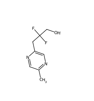 Cc1cnc(CC(F)(F)CO)cn1